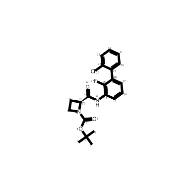 CC(C)(C)OC(=O)N1CC[C@H]1C(=O)Nc1cccc(-c2ccccc2Cl)c1F